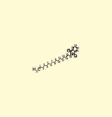 CCCCCCCCCCCCCCC=CCN1C(=O)c2ccccc2C1=O